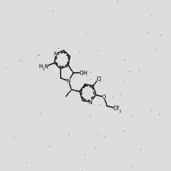 CC(c1cnc(OCC(F)(F)F)c(Cl)c1)N1Cc2c(ccnc2N)C1O